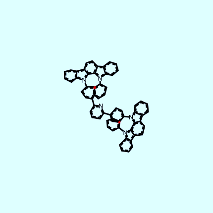 c1ccc(-n2c3ccccc3c3ccc4c5ccccc5n(-c5ccc(-c6cccc(-c7ccc(-n8c9ccccc9c9ccc%10c%11ccccc%11n(-c%11ccccc%11)c%10c98)cc7)n6)cc5)c4c32)cc1